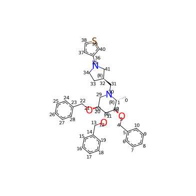 C[C@@H]1[C@@H](OCc2ccccc2)[C@H](OCc2ccccc2)[C@@H](OCc2ccccc2)CN1C[C@H]1CCN(c2ccsc2)C1